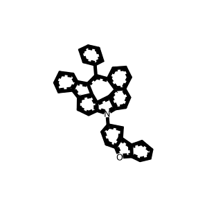 c1ccc(-c2c3c4ccccc4c4ccc5c(c4-3)c3c4c(cccc24)ccc3n5-c2ccc3oc4ccccc4c3c2)cc1